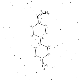 C=C[C@H]1CC[C@H]([C@H]2CC[C@H](CCC)CC2)CC1